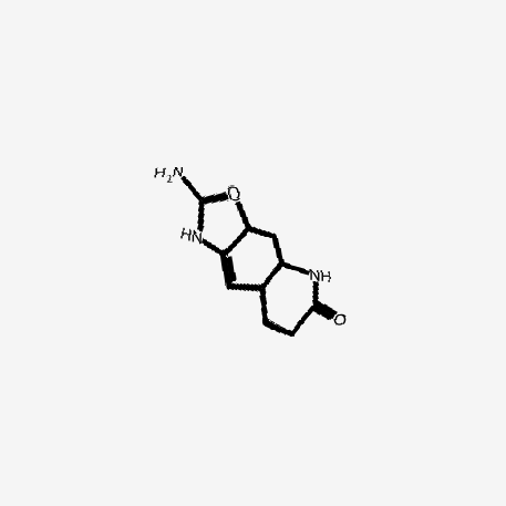 NC1NC2=CC3CCC(=O)NC3CC2O1